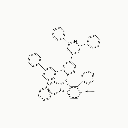 CC1(C)c2ccccc2-c2c1ccc1c3ccccc3n(-c3ccc(-c4cc(-c5ccccc5)nc(-c5ccccc5)c4)cc3-c3cc(-c4ccccc4)nc(-c4ccccc4)c3)c21